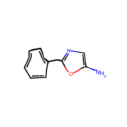 Nc1cnc(-c2ccccc2)o1